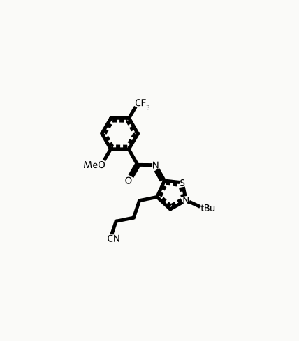 COc1ccc(C(F)(F)F)cc1C(=O)N=c1sn(C(C)(C)C)cc1CCCC#N